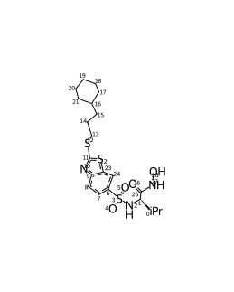 CC(C)[C@@H](NS(=O)(=O)c1ccc2nc(SCCCC3CCCCC3)sc2c1)C(=O)NO